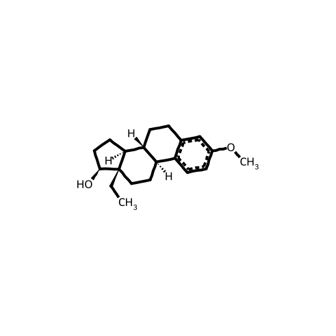 CC[C@]12CC[C@@H]3c4ccc(OC)cc4CC[C@H]3[C@@H]1CC[C@@H]2O